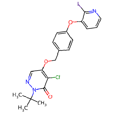 CC(C)(C)n1ncc(OCc2ccc(Oc3cccnc3I)cc2)c(Cl)c1=O